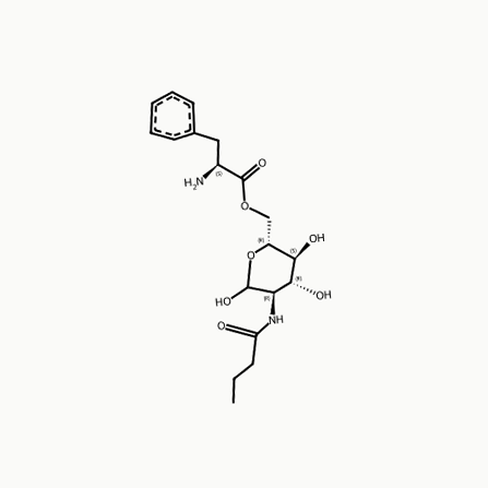 CCCC(=O)N[C@H]1C(O)O[C@H](COC(=O)[C@@H](N)Cc2ccccc2)[C@@H](O)[C@@H]1O